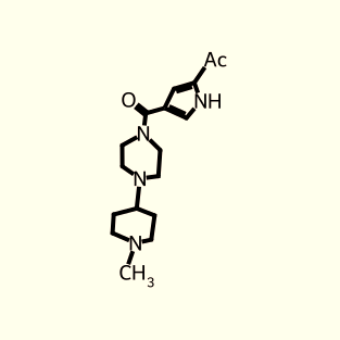 CC(=O)c1cc(C(=O)N2CCN(C3CCN(C)CC3)CC2)c[nH]1